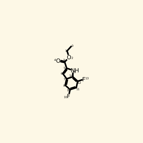 CCOC(=O)c1cc2cc(F)cc(F)c2[nH]1